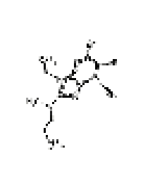 CCCN(C)c1nc2c(C#N)c(Br)c(Br)cc2n1CC